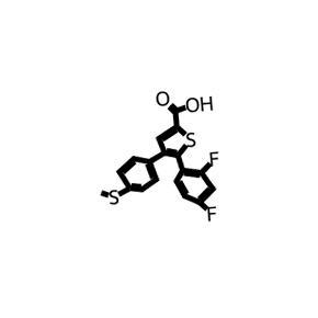 CSc1ccc(-c2cc(C(=O)O)sc2-c2ccc(F)cc2F)cc1